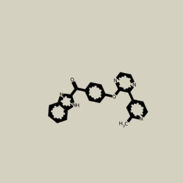 Cc1cc(-c2nccnc2Oc2ccc(C(=O)c3nc4ccccc4[nH]3)cc2)ccn1